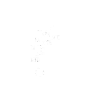 O=C(NCc1ccccc1)C1CCCN1c1nc2c(=O)n(C3CC3)c(C(F)(F)F)nc2s1